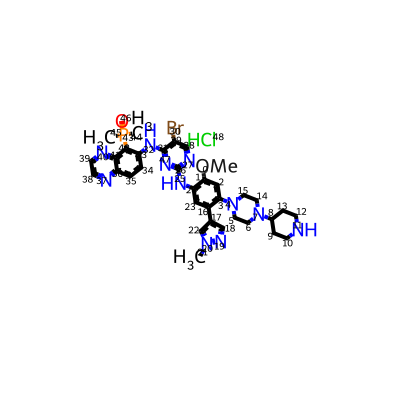 COc1cc(N2CCN(C3CCNCC3)CC2)c(-c2cnn(C)c2)cc1Nc1ncc(Br)c(Nc2ccc3nccnc3c2P(C)(C)=O)n1.Cl